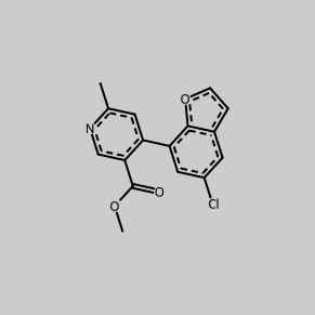 COC(=O)c1cnc(C)cc1-c1cc(Cl)cc2ccoc12